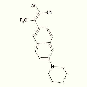 CC(=O)/C(C#N)=C(/c1ccc2cc(N3CCCCC3)ccc2c1)C(F)(F)F